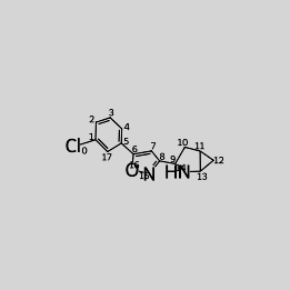 Clc1cccc(-c2cc(C3CC4CC4N3)no2)c1